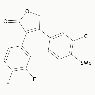 CSc1ccc(C2=C(c3ccc(F)c(F)c3)C(=O)OC2)cc1Cl